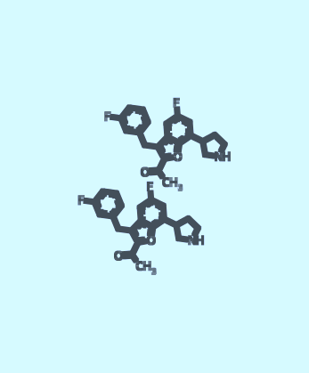 CC(=O)c1oc2c(C3CCNC3)cc(F)cc2c1Cc1cccc(F)c1.CC(=O)c1oc2c(C3CCNC3)cc(F)cc2c1Cc1cccc(F)c1